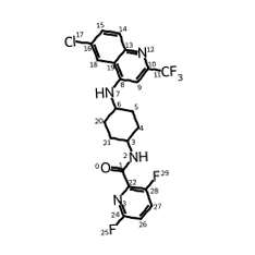 O=C(NC1CCC(Nc2cc(C(F)(F)F)nc3ccc(Cl)cc23)CC1)c1nc(F)ccc1F